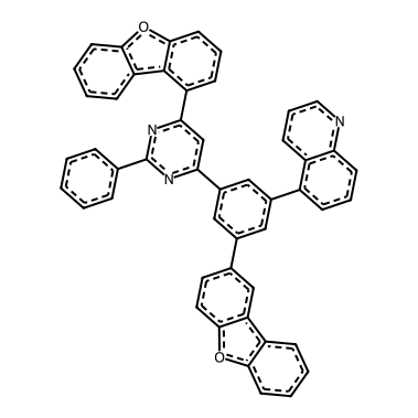 c1ccc(-c2nc(-c3cc(-c4ccc5oc6ccccc6c5c4)cc(-c4cccc5ncccc45)c3)cc(-c3cccc4oc5ccccc5c34)n2)cc1